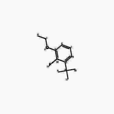 CCOc1cccc(C(C)(C)C)c1F